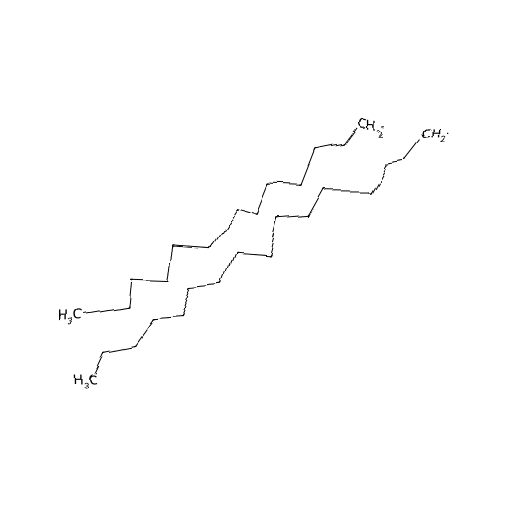 [CH2]CCCCCCCCCCCC.[CH2]CCCCCCCCCCCCCCC